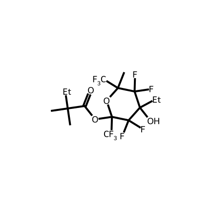 CCC(C)(C)C(=O)OC1(C(F)(F)F)OC(C)(C(F)(F)F)C(F)(F)C(O)(CC)C1(F)F